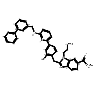 COCCn1c(Cc2ccc(-c3cccc(OCc4cccc(-c5ccccc5)c4)n3)cc2F)nc2ccc(C(=O)OC)cc21